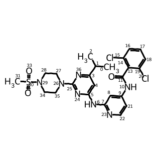 CC(C)c1cc(Nc2cc(NC(=O)c3c(Cl)cccc3Cl)ccn2)nc(N2CCN(S(C)(=O)=O)CC2)n1